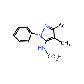 CC(=O)c1nn(-c2ccccc2)c(NC(=O)O)c1C